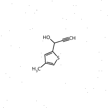 C#CC(O)c1cc(C)cs1